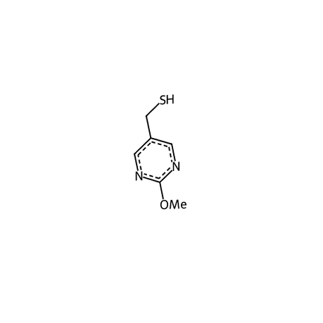 COc1ncc(CS)cn1